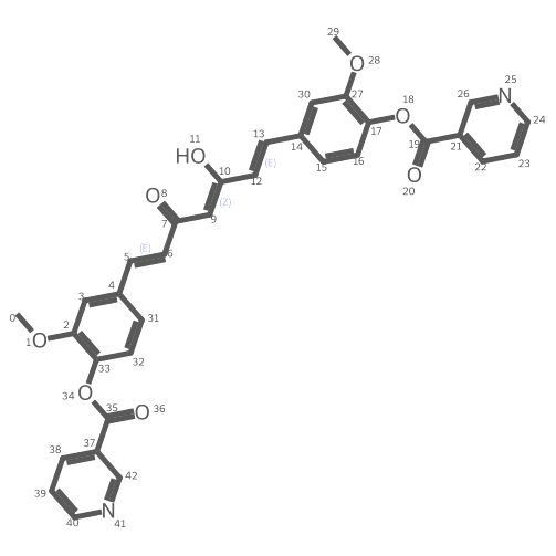 COc1cc(/C=C/C(=O)/C=C(O)/C=C/c2ccc(OC(=O)c3cccnc3)c(OC)c2)ccc1OC(=O)c1cccnc1